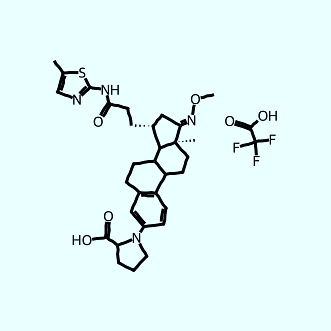 CO/N=C1\C[C@@H](CCC(=O)Nc2ncc(C)s2)C2C3CCc4cc(N5CCCC5C(=O)O)ccc4C3CC[C@]12C.O=C(O)C(F)(F)F